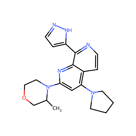 CC1COCCN1c1cc(N2CCCC2)c2ccnc(-c3ccn[nH]3)c2n1